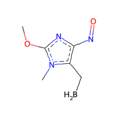 BCc1c(N=O)nc(OC)n1C